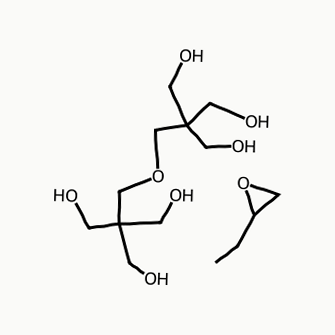 CCC1CO1.OCC(CO)(CO)COCC(CO)(CO)CO